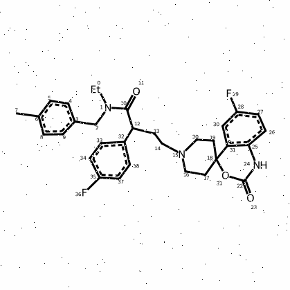 CCN(Cc1ccc(C)cc1)C(=O)C(CCN1CCC2(CC1)OC(=O)Nc1ccc(F)cc12)c1ccc(F)cc1